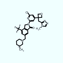 C[C@H]1CCCN(Cc2cc3c(c(C(F)(F)F)c2)CN(c2cc(C4(Cc5nncn5C)COC4)cc(Cl)n2)C3=O)C1